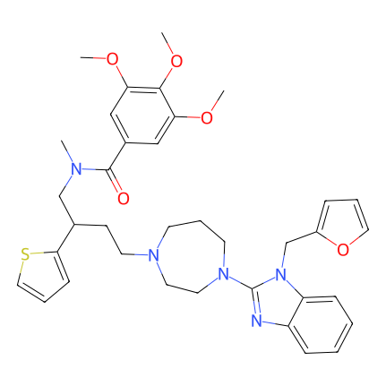 COc1cc(C(=O)N(C)CC(CCN2CCCN(c3nc4ccccc4n3Cc3ccco3)CC2)c2cccs2)cc(OC)c1OC